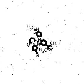 Cc1nc2c(s1)C[C@H](n1c([C@@H]3CCCC(=O)N3c3ccc(C#N)cc3)nc3cc(-c4c(C)noc4C)ccc31)CC2